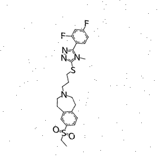 CCS(=O)(=O)c1ccc2c(c1)CCN(CCCSc1nnc(-c3ccc(F)cc3F)n1C)CC2